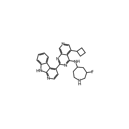 FC1CNCCC(Nc2nc(-c3ccnc4[nH]c5ccccc5c34)nc3cncc(C4CCC4)c23)C1